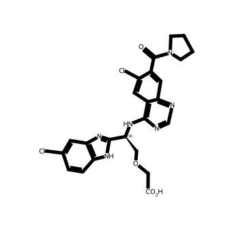 O=C(O)COC[C@H](Nc1ncnc2cc(C(=O)N3CCCC3)c(Cl)cc12)c1nc2cc(Cl)ccc2[nH]1